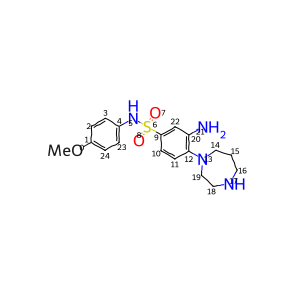 COc1ccc(NS(=O)(=O)c2ccc(N3CCCNCC3)c(N)c2)cc1